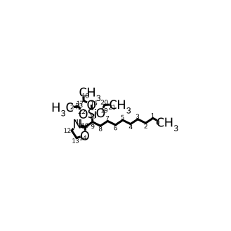 CCCCCCCCCC(C1=NCCO1)[Si](OCC)(OCC)OCC